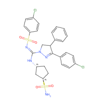 NS(=O)(=O)[C@@H]1CC[C@@H](NC(=NS(=O)(=O)c2ccc(Cl)cc2)N2CC(c3ccccc3)C(c3ccc(Cl)cc3)=N2)C1